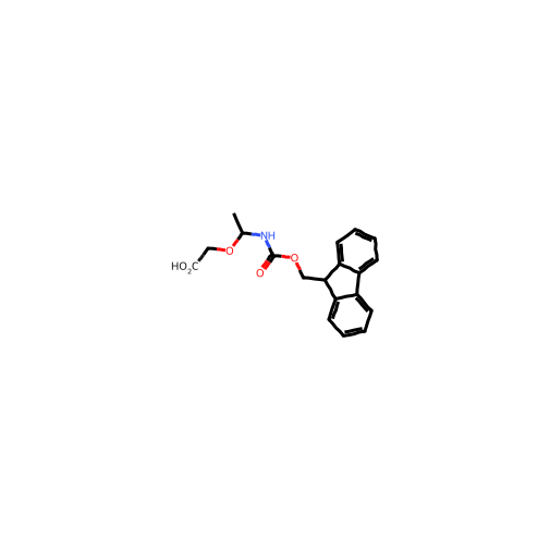 CC(NC(=O)OCC1c2ccccc2-c2ccccc21)OCC(=O)O